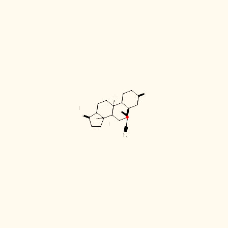 C[C@]12CC[C@H]3[C@@H](CC=C4CC(=O)CC[C@@]43C=CC#N)[C@@H]1CCC2=O